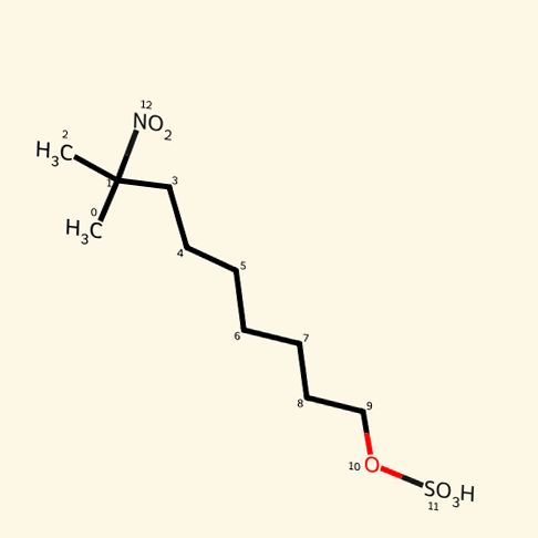 CC(C)(CCCCCCCOS(=O)(=O)O)[N+](=O)[O-]